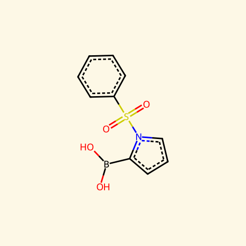 O=S(=O)(c1ccccc1)n1cccc1B(O)O